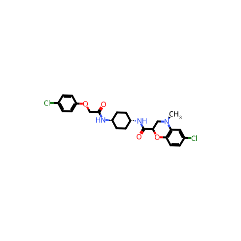 CN1CC(C(=O)N[C@H]2CC[C@H](NC(=O)COc3ccc(Cl)cc3)CC2)Oc2ccc(Cl)cc21